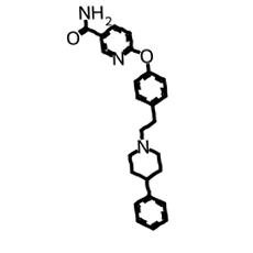 NC(=O)c1ccc(Oc2ccc(CCN3CCC(c4ccccc4)CC3)cc2)nc1